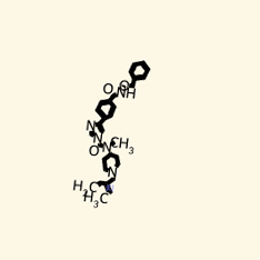 C=C/C(=C\C)CN1CCC(N(C)C(=O)n2cnc(-c3ccc(C(=O)NOCc4ccccc4)cc3)c2)CC1